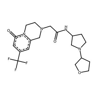 O=C(CN1CCn2c(cc(C(F)(F)F)cc2=O)C1)NC1CCN(C2CCOC2)C1